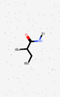 CCNC(=O)C(CC(C)(C)C)C(C)(C)C